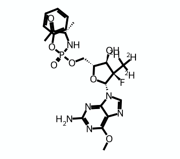 [2H]C([2H])([2H])[C@@]1(F)[C@H](O)[C@@H](COP(=O)(N[C@@H](C)C(C)=O)Oc2ccccc2)O[C@H]1n1cnc2c(OC)nc(N)nc21